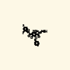 O=C(NCc1ccc(F)cc1F)c1cn2c(c(OCc3ccccc3)c1=O)C(=O)N(CCO)CN2